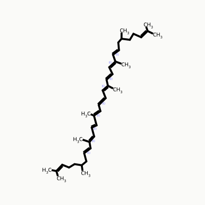 CC(C)=CCCC(C)C/C=C/C(C)=C/C=C/C(C)=C/C=C/C=C(C)/C=C/C=C(C)/C=C/CC(C)CCC=C(C)C